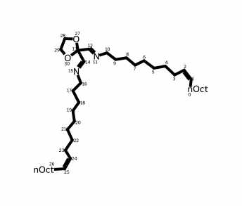 CCCCCCCC/C=C\CCCCCCCCN=CC1(C=NCCCCCCCC/C=C\CCCCCCCC)OCCO1